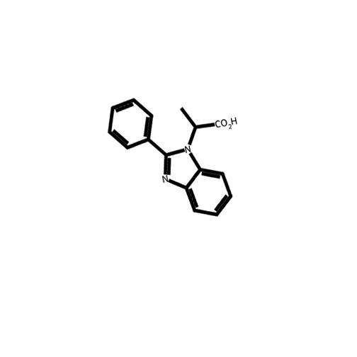 CC(C(=O)O)n1c(-c2ccccc2)nc2ccccc21